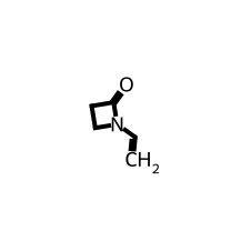 C=CN1CCC1=O